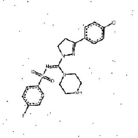 O=S(=O)(/N=C(\N1CCNCC1)N1CCC(c2ccc(Cl)cc2)=N1)c1ccc(F)cc1